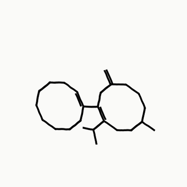 C=C1CCCC(C)CCC(C(C)C)=C(C2=CCCCCCCCC2)C1